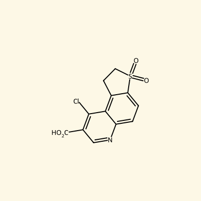 O=C(O)c1cnc2ccc3c(c2c1Cl)CCS3(=O)=O